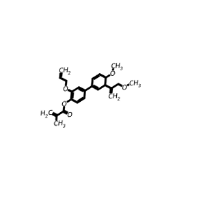 C=CCOc1cc(C2=CC(C(=C)COC)C(OC)C=C2)ccc1OC(=O)C(=C)C